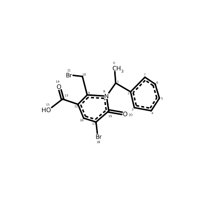 CC(c1ccccc1)n1c(CBr)c(C(=O)O)cc(Br)c1=O